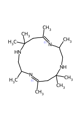 C/C1=N\C(C)CNC(C)(C)C/C(C)=N/C(C)CNC(C)(C)C1